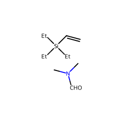 C=C[Si](CC)(CC)CC.CN(C)C=O